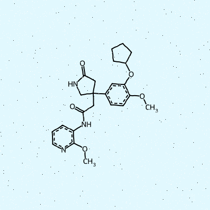 COc1ccc(C2(CC(=O)Nc3cccnc3OC)CNC(=O)C2)cc1OC1CCCC1